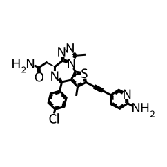 Cc1c(C#Cc2ccc(N)nc2)sc2c1C(c1ccc(Cl)cc1)=N[C@@H](CC(N)=O)c1nnc(C)n1-2